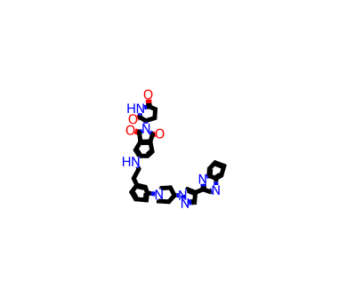 O=C1CCC(N2C(=O)c3ccc(NCCc4cccc(N5CCC(n6cc(-c7cnc8ccccc8n7)cn6)CC5)c4)cc3C2=O)C(=O)N1